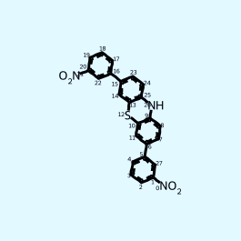 O=[N+]([O-])c1cccc(-c2ccc3c(c2)Sc2cc(-c4cccc([N+](=O)[O-])c4)ccc2N3)c1